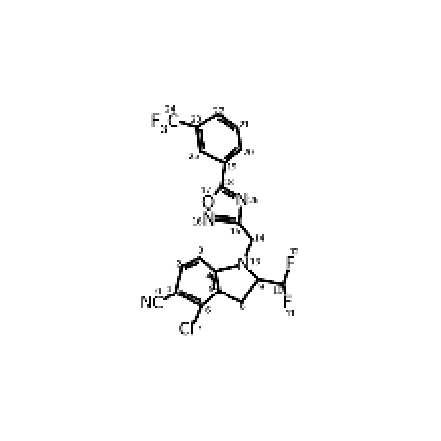 N#Cc1ccc2c(c1Cl)CC(C(F)F)N2Cc1noc(-c2cccc(C(F)(F)F)c2)n1